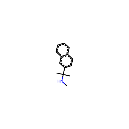 CNC(C)(C)c1ccc2ccccc2c1